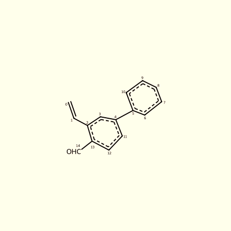 C=Cc1cc(-c2ccccc2)ccc1C=O